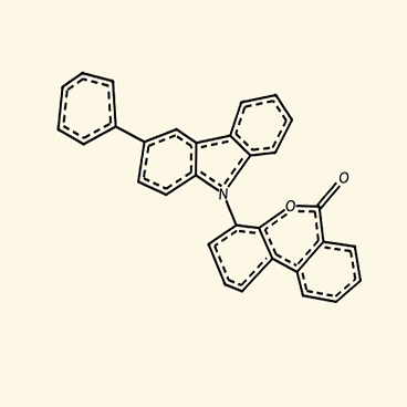 O=c1oc2c(-n3c4ccccc4c4cc(-c5ccccc5)ccc43)cccc2c2ccccc12